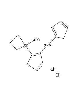 CCC[Si]1(C2=[C]([Zr+2][C]3=CC=CC3)C=CC2)CCC1.[Cl-].[Cl-]